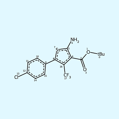 CC(C)(C)OC(=O)c1c(N)sc(-c2ccc(Cl)cc2)c1C(F)(F)F